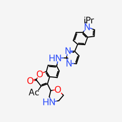 CC(=O)c1c(C2CNCCO2)c2ccc(Nc3nccc(-c4ccc5c(ccn5C(C)C)c4)n3)cc2oc1=O